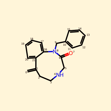 C=C1CCNCC(=O)N(Cc2ccccc2)c2ccccc21